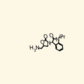 CC(C)N1C(=O)[C@H](N2CC(CN)OC2=O)c2ccccc21